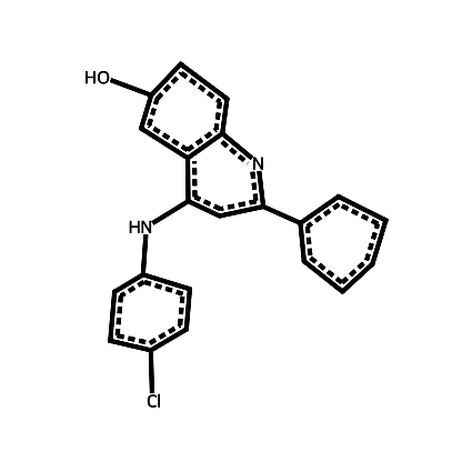 Oc1ccc2nc(-c3ccccc3)cc(Nc3ccc(Cl)cc3)c2c1